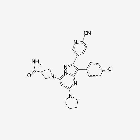 N#Cc1ccc(-c2nn3c(N4CC(C(N)=O)C4)cc(N4CCCC4)nc3c2-c2ccc(Cl)cc2)cn1